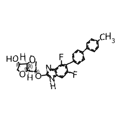 Cc1ccc(-c2ccc(-c3c(F)cc4[nH]c(O[C@@H]5CO[C@H]6[C@@H]5OC[C@H]6O)nc4c3F)cc2)cc1